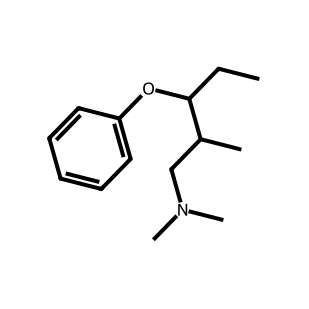 CCC(Oc1ccccc1)C(C)CN(C)C